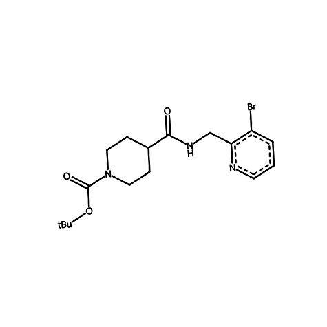 CC(C)(C)OC(=O)N1CCC(C(=O)NCc2ncccc2Br)CC1